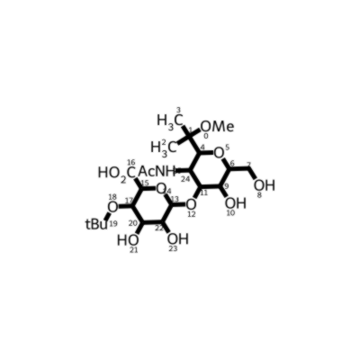 COC(C)(C)C1OC(CO)C(O)C(OC2OC(C(=O)O)C(OC(C)(C)C)C(O)C2O)C1NC(C)=O